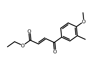 CCOC(=O)/C=C/C(=O)c1ccc(OC)c(C)c1